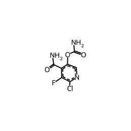 NC(=O)Oc1cnc(Cl)c(F)c1C(N)=O